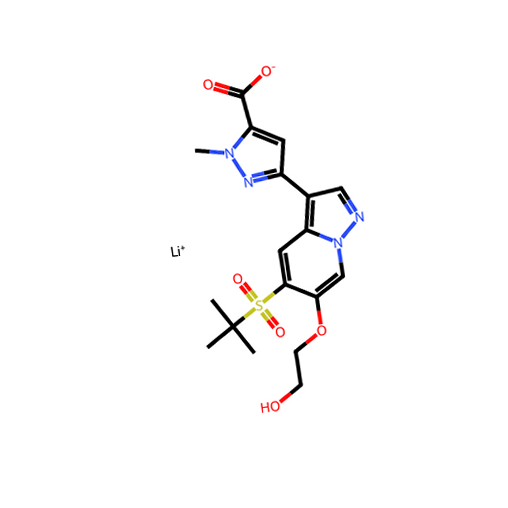 Cn1nc(-c2cnn3cc(OCCO)c(S(=O)(=O)C(C)(C)C)cc23)cc1C(=O)[O-].[Li+]